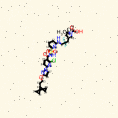 CC1(C)CC(CC(F)(F)CNc2cccc(S(=O)(=O)NC(=O)c3ccc(-n4ccc(OCCC5C6(CC6)C56CC6)n4)nc3Cl)n2)CN1C(=O)O